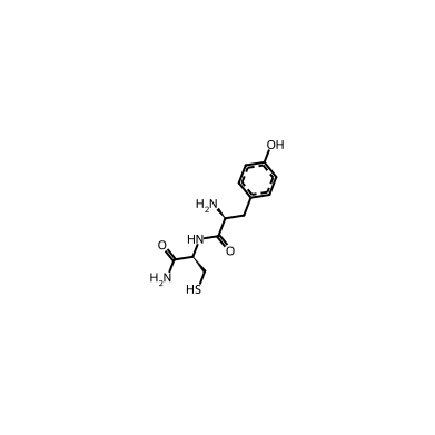 NC(=O)[C@H](CS)NC(=O)[C@@H](N)Cc1ccc(O)cc1